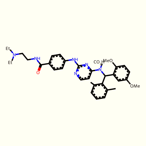 CCN(CC)CCNC(=O)c1ccc(Nc2nccc(N(C(=O)O)C(c3cc(OC)ccc3OC)c3c(C)cccc3C)n2)cc1